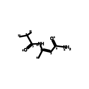 CC(=CC(N)=O)NC(=O)C(C)C